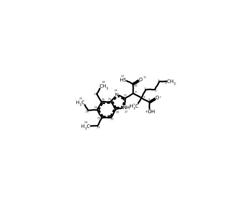 CCCCC(C)(C(=O)O)C(C(=O)S)c1nc2c(CC)c(CC)c(CC)cc2[nH]1